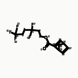 O=C(OCCC(F)(F)CCC(F)(F)F)C1=CC2C=CC1C2